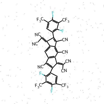 N#CC(C#N)=C1C(c2cc(C(F)(F)F)c(F)c(C(F)(F)F)c2F)=C(C#N)c2c1cc1c(c2C#N)C(=C(C#N)C#N)C(c2cc(C(F)(F)F)c(F)c(C(F)(F)F)c2F)=C1C#N